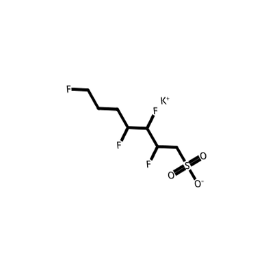 O=S(=O)([O-])CC(F)C(F)C(F)CCCF.[K+]